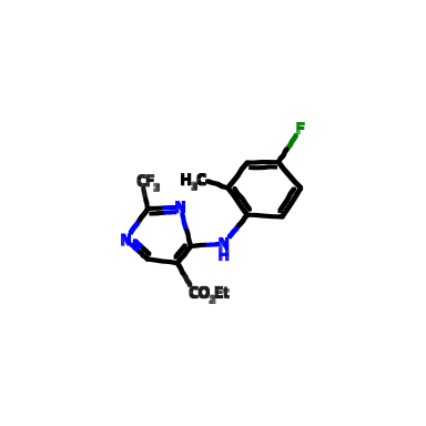 CCOC(=O)c1cnc(C(F)(F)F)nc1Nc1ccc(F)cc1C